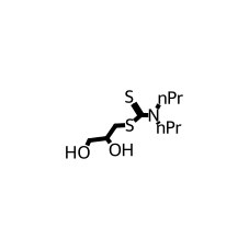 CCCN(CCC)C(=S)SCC(O)CO